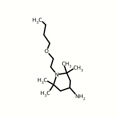 CCCCOCCN1C(C)(C)CC(N)CC1(C)C